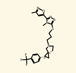 Cc1cc(-c2nnc(SCCCN3CC[C@@]4(C[C@@H]4c4ccc(C(F)(F)F)cc4)C3)n2C)on1